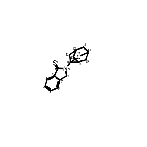 S=C1c2ccccc2CN1C12CC3CC(CC1C3)C2